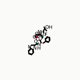 CC(C)(O)CC[C@H](C[C@H](OP(=O)(O)O)[C@H](Cc1cccc(F)c1)NC(=O)c1cnc2ccccc2n1)C(N)=O